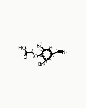 N#Cc1cc(Br)c(OCC(=O)O)c(Br)c1